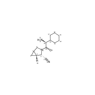 N#C[C@@H]1[C@@H]2CC2CN1C(=O)[C@@H](N)C1CCCCC1